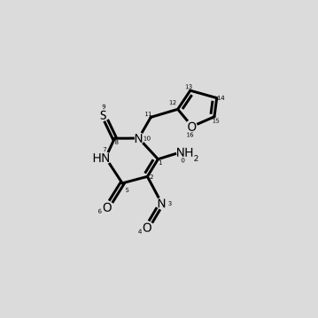 Nc1c(N=O)c(=O)[nH]c(=S)n1Cc1ccco1